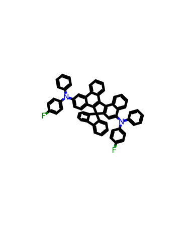 Fc1ccc(N(c2ccccc2)c2ccc3c4c(c5ccccc5c3c2)-c2c(cc(N(c3ccccc3)c3ccc(F)cc3)c3ccccc23)C42c3ccccc3-c3ccccc32)cc1